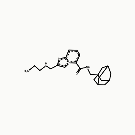 NCCNCc1cn2c(C(=O)NCC34CC5CC(CC(C5)C3)C4)cccc2n1